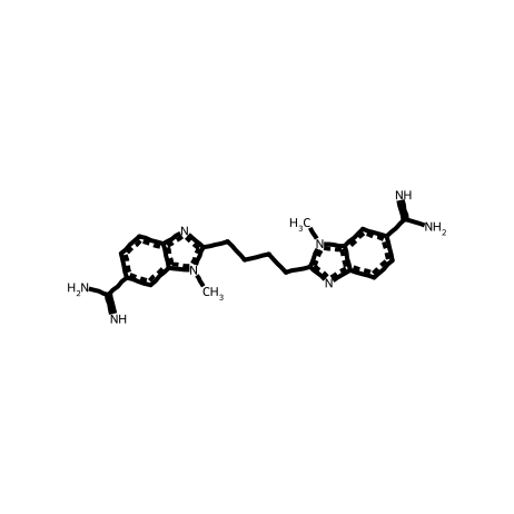 Cn1c(CCCCc2nc3ccc(C(=N)N)cc3n2C)nc2ccc(C(=N)N)cc21